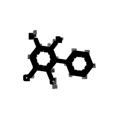 Clc1[c]c(Br)c(Br)c(-c2ccccc2)c1Cl